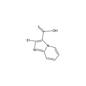 CCc1nc2ccccn2c1C(O)=S